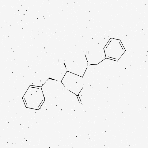 NN(Cc1ccccc1)C[C@H](O)[C@H](Cc1ccccc1)NC(=O)O